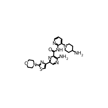 Nc1ncc(-c2csc(N3CCOCC3)n2)nc1C(=O)Nc1ncccc1N1CCC(N)CC1